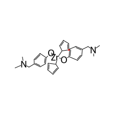 CN(C)Cc1ccc([O][Zr]([O]c2ccc(CN(C)C)cc2)([CH]2C=CC=C2)[CH]2C=CC=C2)cc1